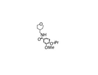 COc1cc(C(=O)NCC2CCOCC2)ccc1OC(C)C